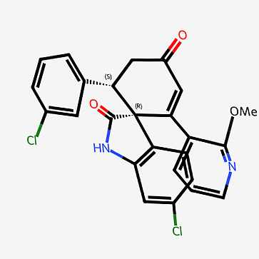 COc1ncccc1C1=CC(=O)C[C@@H](c2cccc(Cl)c2)[C@@]12C(=O)Nc1cc(Cl)ccc12